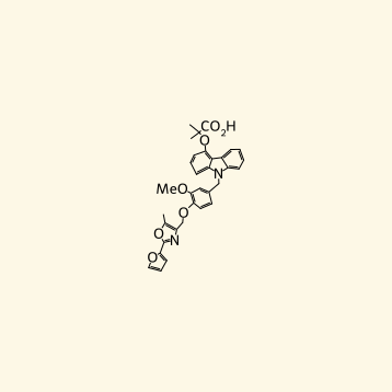 COc1cc(Cn2c3ccccc3c3c(OC(C)(C)C(=O)O)cccc32)ccc1OCc1nc(-c2ccco2)oc1C